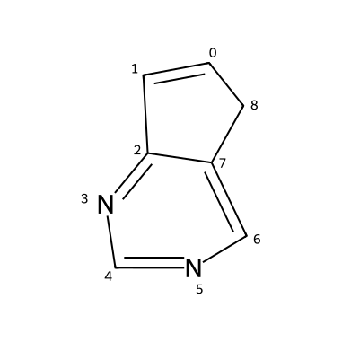 C1=Cc2ncncc2C1